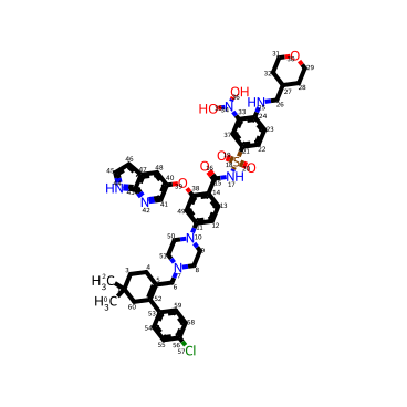 CC1(C)CCC(CN2CCN(c3ccc(C(=O)NS(=O)(=O)c4ccc(NCC5CCOCC5)c(N(O)O)c4)c(Oc4cnc5[nH]ccc5c4)c3)CC2)=C(c2ccc(Cl)cc2)C1